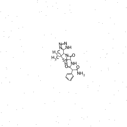 CC1(C)S[C@H]2C(NC(=O)C(C(N)=O)c3ccccc3)C(=O)N2C1c1nnn[nH]1